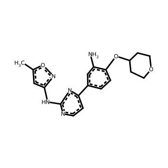 Cc1cc(Nc2nccc(-c3ccc(OC4CCOCC4)c(N)c3)n2)no1